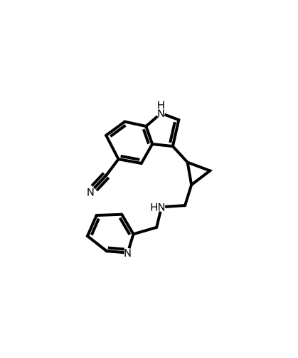 N#Cc1ccc2[nH]cc(C3CC3CNCc3ccccn3)c2c1